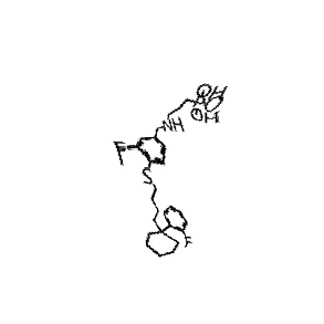 O=P(O)(O)CCCNCc1ccc(SCCCCC2(c3ccccc3F)CCCCC2)c(F)c1